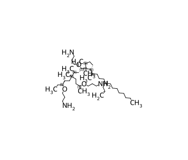 C=CCN(CCCCCCCC)CCC[C@@H](C)[C@H]1CC[C@@H](C)[C@]1(C)[C@H](C[C@@H](C)[C@@](C)(CC[C@H](CC)OCCCN)CC[C@H](C)OCCCN)OCCCN